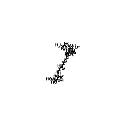 COC[C@H]1O[C@@H](n2cnc3c(N)ncnc32)[C@H](OCc2cn(CCOCCNC(=O)CCCCO[C@@H]3O[C@H](CO)[C@H](O)[C@H](O)[C@H]3NC(C)=O)nn2)[C@@H]1OP(=O)(O)OC